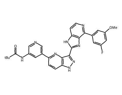 COc1cc(F)cc(-c2nccc3[nH]c(-c4n[nH]c5ccc(-c6cncc(NC(=O)C(C)(C)C)c6)nc45)nc23)c1